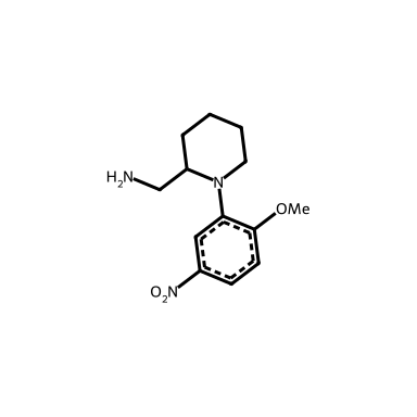 COc1ccc([N+](=O)[O-])cc1N1CCCCC1CN